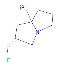 CC(C)C12CCCN1C/C(=C\F)C2